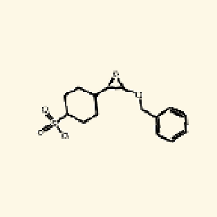 O=S(=O)(Cl)C1CCC(C2OC2OCc2ccccc2)CC1